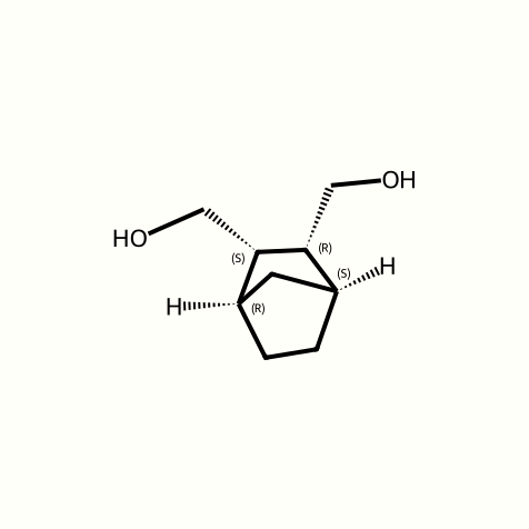 OC[C@@H]1[C@H]2CC[C@H](C2)[C@@H]1CO